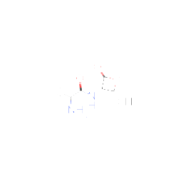 CC(N)C(=O)N[C@@H]1C(=O)O[C@@H]1C